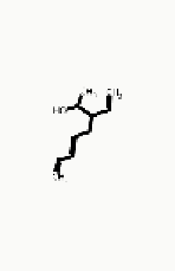 C=CC=CCC(C=C)C(C)O